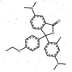 CCOc1ccc(C2(c3ccc(N(C)C)cc3C)OC(=O)c3cc(N(C)C)ccc32)cc1